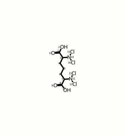 O=C(O)C(CCCC(C(=O)O)N(Cl)Cl)N(Cl)Cl